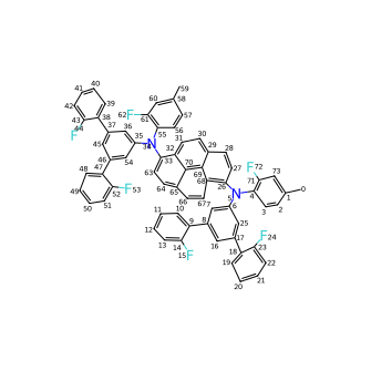 Cc1ccc(N(c2cc(-c3ccccc3F)cc(-c3ccccc3F)c2)c2ccc3ccc4c(N(c5cc(-c6ccccc6F)cc(-c6ccccc6F)c5)c5ccc(C)cc5F)ccc5ccc2c3c54)c(F)c1